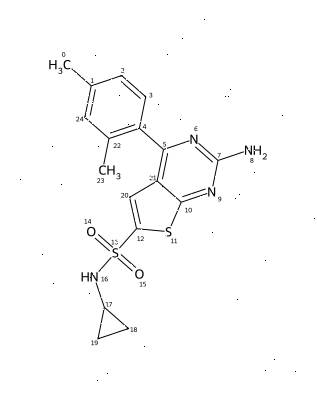 Cc1ccc(-c2nc(N)nc3sc(S(=O)(=O)NC4CC4)cc23)c(C)c1